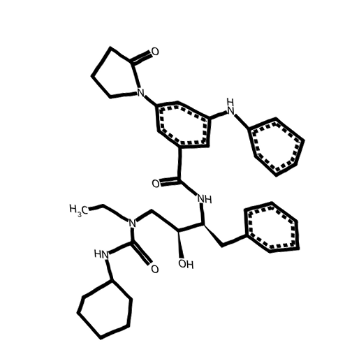 CCN(C[C@H](O)[C@H](Cc1ccccc1)NC(=O)c1cc(Nc2ccccc2)cc(N2CCCC2=O)c1)C(=O)NC1CCCCC1